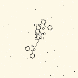 O=C(CCCC(=O)OC(c1ccccc1)c1ccccc1)N[C@@H]1C(=O)N2C(C(=O)OC(c3ccccc3)c3ccccc3)=C(CO)CS[C@@H]12